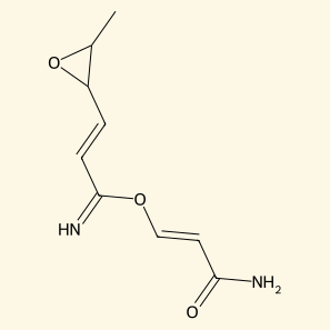 CC1OC1C=CC(=N)OC=CC(N)=O